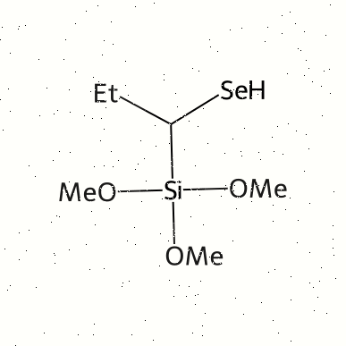 CCC([SeH])[Si](OC)(OC)OC